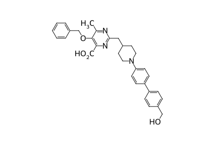 Cc1nc(CC2CCN(c3ccc(-c4ccc(CO)cc4)cc3)CC2)nc(C(=O)O)c1OCc1ccccc1